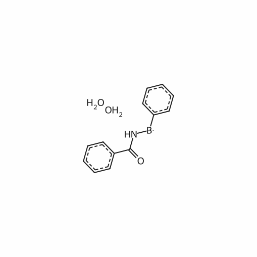 O.O.O=C(N[B]c1ccccc1)c1ccccc1